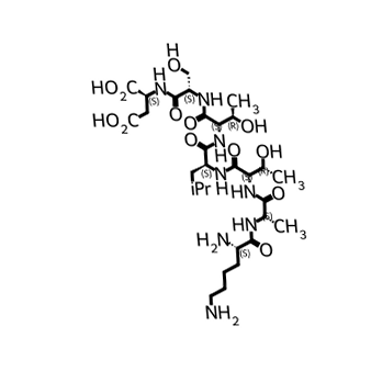 CC(C)C[C@H](NC(=O)[C@@H](NC(=O)[C@H](C)NC(=O)[C@@H](N)CCCCN)[C@@H](C)O)C(=O)N[C@H](C(=O)N[C@@H](CO)C(=O)N[C@@H](CC(=O)O)C(=O)O)[C@@H](C)O